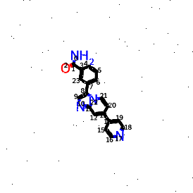 NC(=O)c1cccc(-c2cnc3cc(-c4ccncc4)ccn23)c1